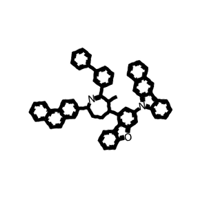 CC1C(c2cccc(-c3ccccc3)c2)=NC(c2ccc3c(ccc4ccccc43)c2)CCC1c1cc(-n2c3ccccc3c3cc4ccccc4cc32)cc2oc3ccccc3c12